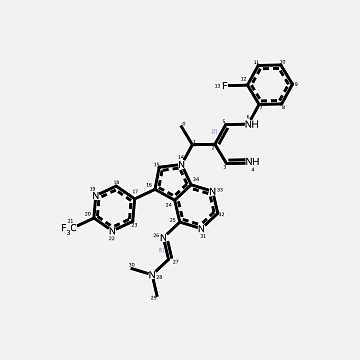 CC(/C(C=N)=C/Nc1ccccc1F)n1cc(-c2cnc(C(F)(F)F)nc2)c2c(/N=C/N(C)C)ncnc21